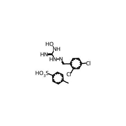 Cc1ccc(S(=O)(=O)O)cc1.N=C(NO)NN=Cc1ccc(Cl)cc1Cl